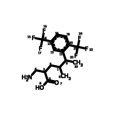 CC(CC(CN)C(=O)O)C(C)c1cc(C(F)(F)F)ccc1C(F)(F)F